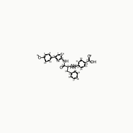 COc1ccc(-c2csc(NC(=O)C(Cc3ccccc3)NNc3ccc(C(=O)O)cc3)n2)cc1